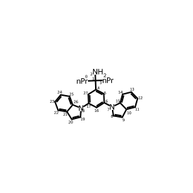 CCCC(N)(CCC)c1cc(-n2ccc3ccccc32)cc(-n2ccc3ccccc32)c1